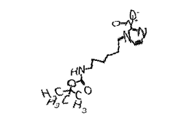 CC(C)(C)OC(=O)NCCCCCCn1ccnc1[N+](=O)[O-]